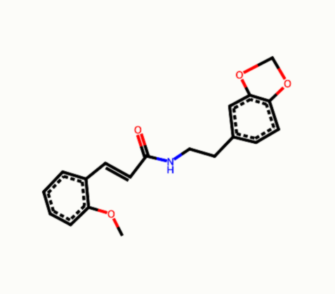 COc1ccccc1C=CC(=O)NCCc1ccc2c(c1)OCO2